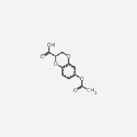 CC(=O)Oc1ccc2c(c1)OCC(C(=O)O)O2